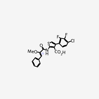 CO/C(=C\c1ccccc1)C(=O)Nc1scc(-c2ccc(Cl)c(F)c2F)c1C(=O)O